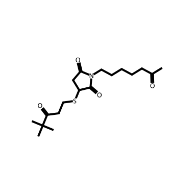 CC(=O)CCCCCN1C(=O)CC(SCCC(=O)C(C)(C)C)C1=O